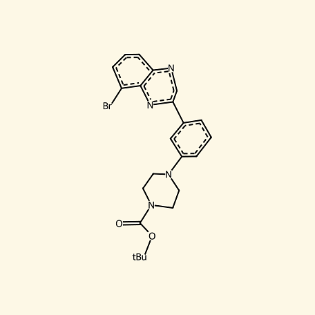 CC(C)(C)OC(=O)N1CCN(c2cccc(-c3cnc4cccc(Br)c4n3)c2)CC1